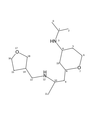 CC(C)NC1CCOC(CC(C)NCC2CCOC2)C1